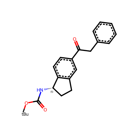 CC(C)(C)OC(=O)N[C@H]1CCc2cc(C(=O)Cc3ccccc3)ccc21